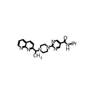 CC(C)NC(=O)c1cnc(N2CCN(C(C)c3ccc4cccnc4n3)CC2)nc1